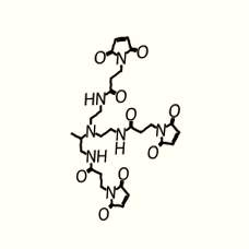 CC(CNC(=O)CCN1C(=O)C=CC1=O)N(CCNC(=O)CCN1C(=O)C=CC1=O)CCNC(=O)CCN1C(=O)C=CC1=O